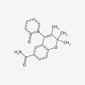 CC1=C(n2ccccc2=O)c2cc(C(N)=O)ccc2OC1(C)C